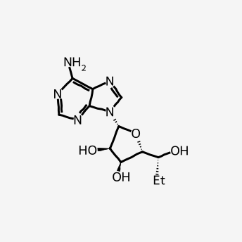 CC[C@@H](O)[C@H]1O[C@@H](n2cnc3c(N)ncnc32)[C@H](O)[C@@H]1O